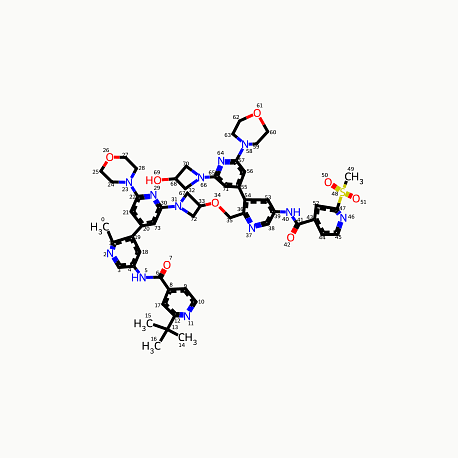 Cc1ncc(NC(=O)c2ccnc(C(C)(C)C)c2)cc1-c1cc(N2CCOCC2)nc(N2CC(OCc3ncc(NC(=O)c4ccnc(S(C)(=O)=O)c4)cc3-c3cc(N4CCOCC4)nc(N4CC(O)C4)c3)C2)c1